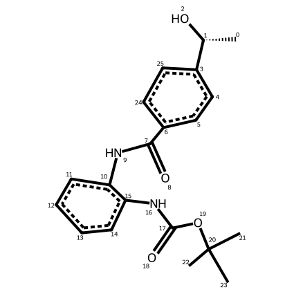 C[C@@H](O)c1ccc(C(=O)Nc2ccccc2NC(=O)OC(C)(C)C)cc1